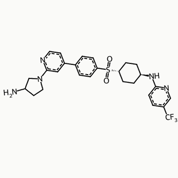 NC1CCN(c2cc(-c3ccc(S(=O)(=O)[C@H]4CC[C@H](Nc5ccc(C(F)(F)F)cn5)CC4)cc3)ccn2)C1